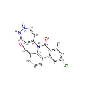 Cc1cc(Cl)ccc1C(=O)N(C1=CC=NNC=C1)C1=CC=CCC1=C=O